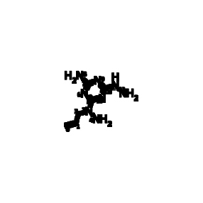 C=CCN(N)c1nc(N)nc(NN)n1